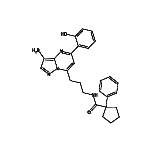 Bc1cnn2c(CCCNC(=O)C3(c4ccccc4)CCCC3)cc(-c3ccccc3O)nc12